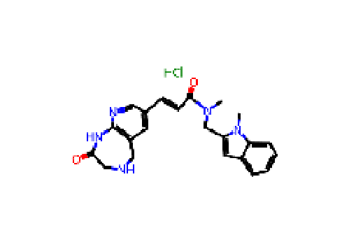 CN(Cc1cc2ccccc2n1C)C(=O)C=Cc1cnc2c(c1)CNCC(=O)N2.Cl